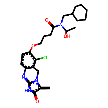 C=c1c(=O)[nH]c2n1Cc1c(ccc(OCCCC(=O)N(CC3CCCCC3)C(C)O)c1Cl)N=2